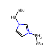 CCCCBn1cc[n+]([BH2-]CCCC)c1